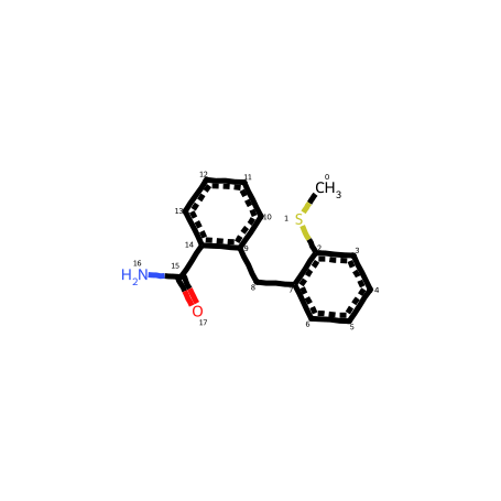 CSc1ccccc1Cc1ccccc1C(N)=O